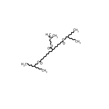 CCCCCC(CCCCC)CCOC(=O)CCCCCCCCC(CCCCCCC(=O)OCCC(CCCCC)CCCCC)C(=O)OCCCN(CC)CC